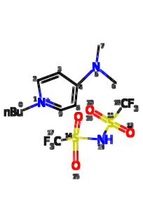 CCCC[n+]1ccc(N(C)C)cc1.O=S(=O)(NS(=O)(=O)C(F)(F)F)C(F)(F)F